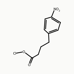 O=C(CCCc1ccc([N+](=O)[O-])cc1)OCl